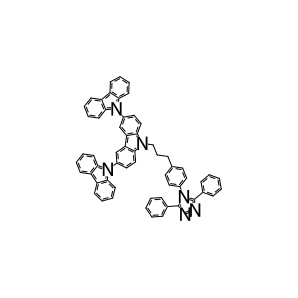 c1ccc(-c2nnc(-c3ccccc3)n2-c2ccc(CCCn3c4ccc(-n5c6ccccc6c6ccccc65)cc4c4cc(-n5c6ccccc6c6ccccc65)ccc43)cc2)cc1